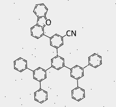 N#Cc1cc(-c2cc(-c3cc(-c4ccccc4)cc(-c4ccccc4)c3)cc(-c3cc(-c4ccccc4)cc(-c4ccccc4)c3)c2)cc(-c2cccc3c2oc2ccccc23)c1